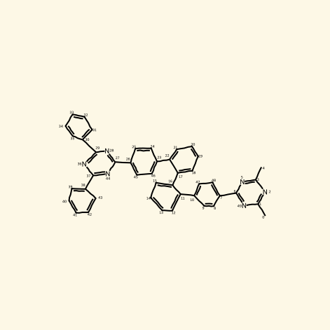 Cc1nc(C)nc(-c2ccc(-c3ccccc3-c3ccccc3-c3ccc(-c4nc(-c5ccccc5)nc(-c5ccccc5)n4)cc3)cc2)n1